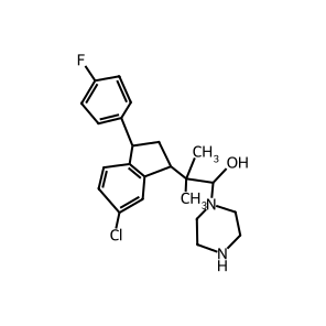 CC(C)(C1CC(c2ccc(F)cc2)c2ccc(Cl)cc21)C(O)N1CCNCC1